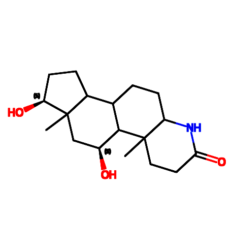 CC12CCC(=O)NC1CCC1C2[C@@H](O)CC2(C)C1CC[C@@H]2O